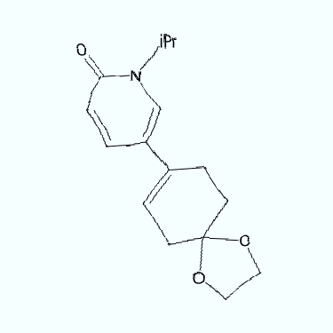 CC(C)n1cc(C2=CCC3(CC2)OCCO3)ccc1=O